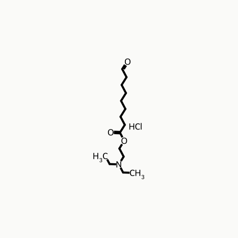 CCN(CC)CCOC(=O)CCCCCCCC=O.Cl